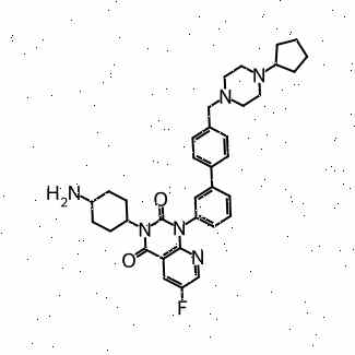 NC1CCC(n2c(=O)c3cc(F)cnc3n(-c3cccc(-c4ccc(CN5CCN(C6CCCC6)CC5)cc4)c3)c2=O)CC1